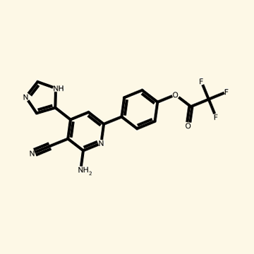 N#Cc1c(-c2cnc[nH]2)cc(-c2ccc(OC(=O)C(F)(F)F)cc2)nc1N